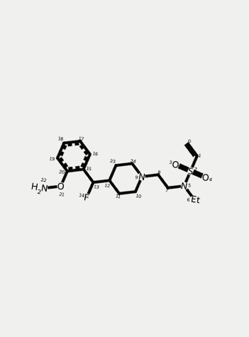 C=CS(=O)(=O)N(CC)CCN1CCC(C(F)c2ccccc2ON)CC1